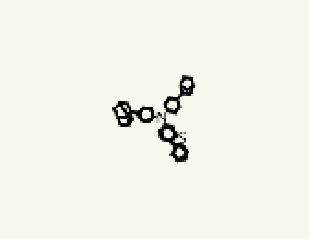 c1ccc2c(c1)sc1cc(N(c3ccc(C4CC5CCC4C5)cc3)c3ccc(C45CC6CC(CC(C6)C4)C5)cc3)ccc12